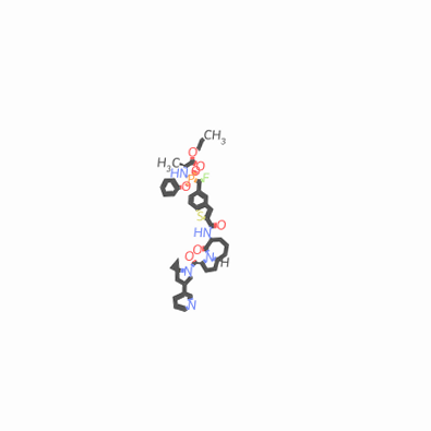 CCCOC(=O)[C@H](C)NP(=O)(Oc1ccccc1)C(F)c1ccc2sc(C(=O)N[C@H]3CCC[C@H]4CC[C@@H](C(=O)N5CC(c6cccnc6)CC56CC6)N4C3=O)cc2c1